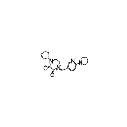 O=C1C(=O)N(C2CCCC2)CCN1Cc1ccc(N2CCCC2)nc1